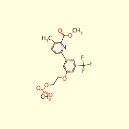 COC(=O)c1nc(-c2cc(OCCOS(C)(=O)=O)cc(C(F)(F)F)c2)ccc1C